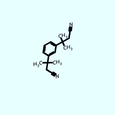 CC(C)(CC#N)c1cccc(C(C)(C)CC#N)c1